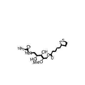 CCCC(=O)NC[C@@H](O)[C@H](O)[C@@H](COC(=O)CCCCC1CCSS1)OC